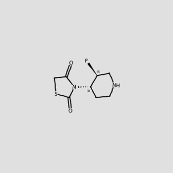 O=C1CSC(=O)N1[C@H]1CCNC[C@@H]1F